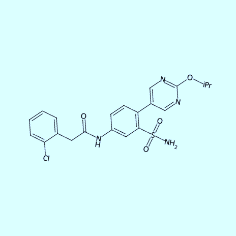 CC(C)Oc1ncc(-c2ccc(NC(=O)Cc3ccccc3Cl)cc2S(N)(=O)=O)cn1